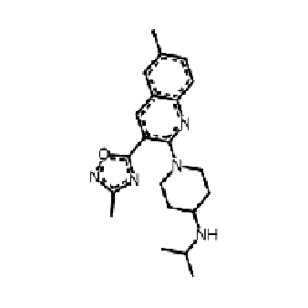 Cc1ccc2nc(N3CCC(NC(C)C)CC3)c(-c3nc(C)no3)cc2c1